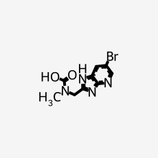 CN(Cc1nc2ncc(Br)cc2[nH]1)C(=O)O